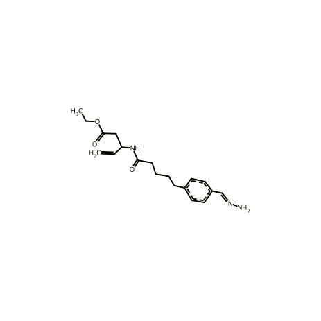 C=CC(CC(=O)OCC)NC(=O)CCCCc1ccc(C=NN)cc1